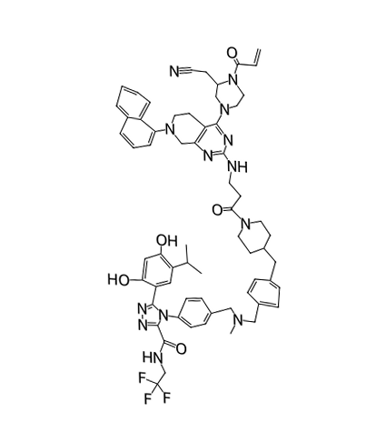 C=CC(=O)N1CCN(c2nc(NCCC(=O)N3CCC(Cc4ccc(CN(C)Cc5ccc(-n6c(C(=O)NCC(F)(F)F)nnc6-c6cc(C(C)C)c(O)cc6O)cc5)cc4)CC3)nc3c2CCN(c2cccc4ccccc24)C3)CC1CC#N